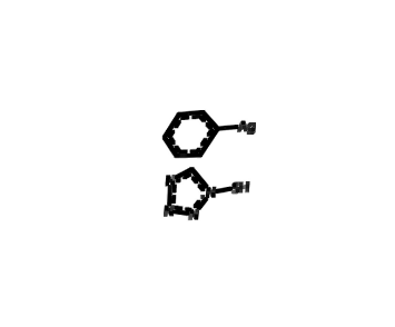 Sn1cnnn1.[Ag][c]1ccccc1